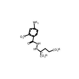 Nc1ccc(C(=O)NN[C@@H](CCC(=O)O)C(=O)O)c([N+](=O)[O-])c1